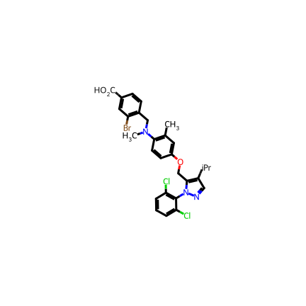 Cc1cc(OCc2c(C(C)C)cnn2-c2c(Cl)cccc2Cl)ccc1N(C)Cc1ccc(C(=O)O)cc1Br